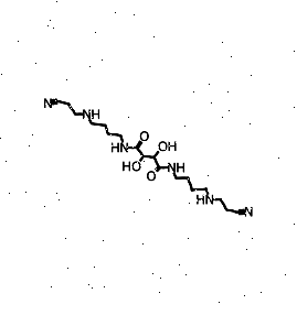 N#CCCNCCCCNC(=O)C(O)C(O)C(=O)NCCCCNCCC#N